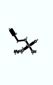 C#CCOS(=O)(=O)O.[MgH2]